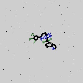 Fc1cc(-c2ccc3nnc(C(F)(F)c4ccc5ncccc5c4)n3n2)cc(F)c1F